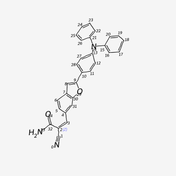 N#C/C(=C/c1ccc2cc(-c3ccc(N(c4ccccc4)c4ccccc4)cc3)oc2c1)C(N)=O